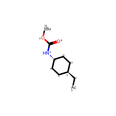 CC(=O)C[C@H]1CC[C@H](NC(=O)OC(C)(C)C)CC1